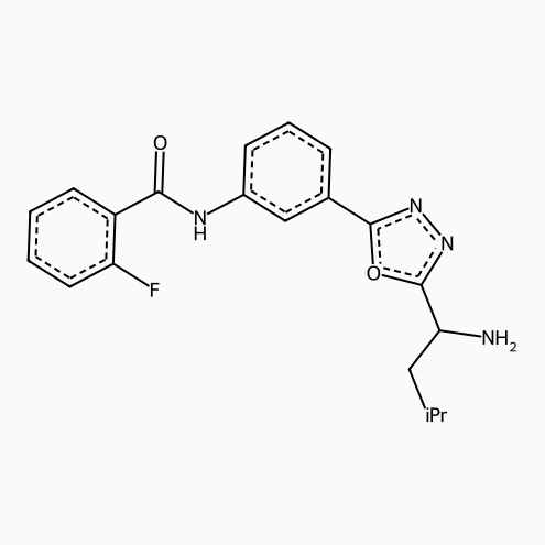 CC(C)CC(N)c1nnc(-c2cccc(NC(=O)c3ccccc3F)c2)o1